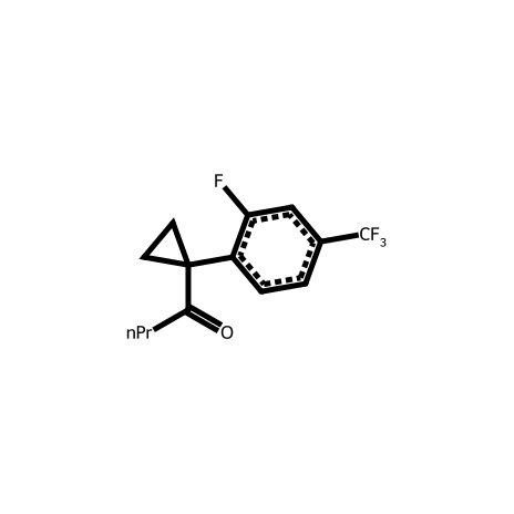 CCCC(=O)C1(c2ccc(C(F)(F)F)cc2F)CC1